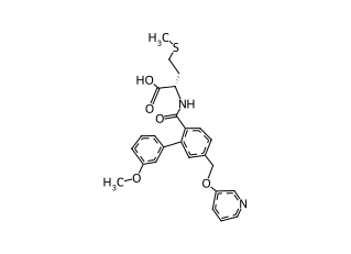 COc1cccc(-c2cc(COc3cccnc3)ccc2C(=O)N[C@@H](CCSC)C(=O)O)c1